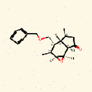 C[C@H]1[C@H](COCc2ccccc2)[C@H]2[C@@H](C(=O)C[C@@H]2C)[C@H]2O[C@@H]12